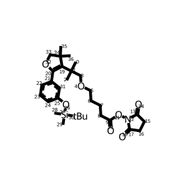 CC(C)(COCCCCC(=O)ON1C(=O)CCC1=O)C1=C(c2cccc(O[Si](C)(C)C(C)(C)C)c2)OCC1(C)C